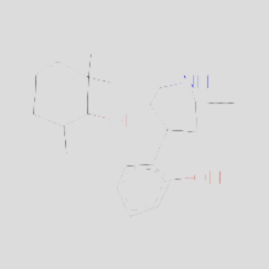 CC1CC(c2ccccc2O)CCN1.CC1CCCC(C)(C)C1O